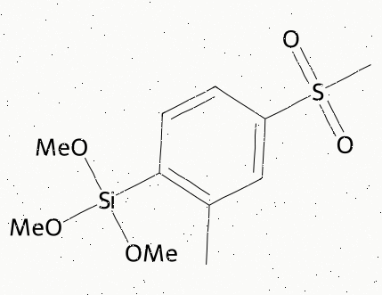 CO[Si](OC)(OC)c1ccc(S(C)(=O)=O)cc1C